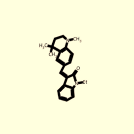 CCN1C(=O)/C(=C\c2ccc3c(c2)C(C)(C)CCN3C)c2ccccc21